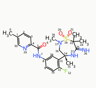 Cc1ccc(C(=O)Nc2ccc(F)c([C@]3(C)CN(C)S(=O)(=O)C(C)(C)C(=N)N3)c2)nc1